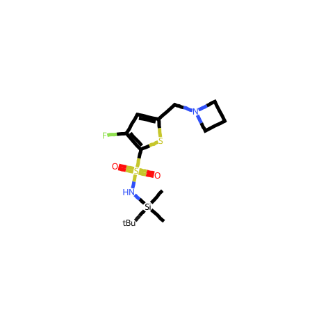 CC(C)(C)[Si](C)(C)NS(=O)(=O)c1sc(CN2CCC2)cc1F